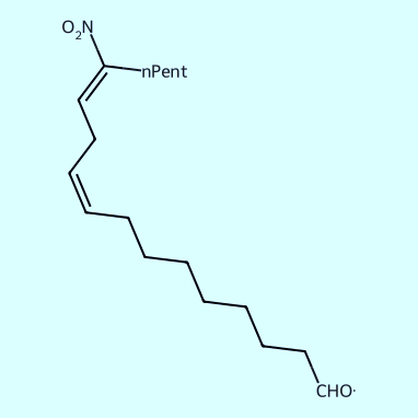 CCCCC/C(=C\C/C=C\CCCCCCC[C]=O)[N+](=O)[O-]